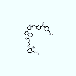 Cc1cccc(OCCCC(=O)N2CCCc3c(-c4cnn(Cc5cccc(C(=O)N6CCC(CO)CC6)c5)c4)cccc32)c1C